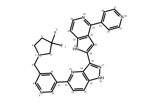 FC1(F)CCN(Cc2cncc(-c3ccc4[nH]nc(-c5cc6c(-c7ccncc7)nccc6[nH]5)c4n3)c2)C1